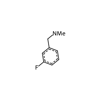 [CH2-][NH2+]Cc1cccc(F)c1